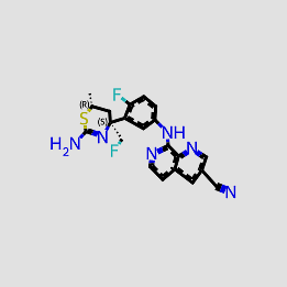 C[C@@H]1C[C@@](CF)(c2cc(Nc3nccc4cc(C#N)cnc34)ccc2F)N=C(N)S1